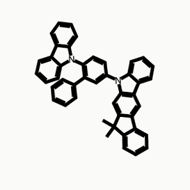 CC1(C)c2ccccc2-c2cc3c4ccccc4n(-c4ccc(-n5c6ccccc6c6ccccc65)c(-c5ccccc5)c4)c3cc21